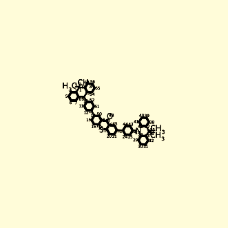 CC1(C)c2ccccc2C(c2ccc(-c3ccc4sc5ccc(-c6ccc(N7c8ccccc8C(C)(C)c8ccccc87)cc6)cc5c(=O)c4c3)cc2)c2ccccc21